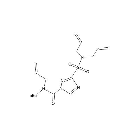 C=CCN(CCCC)C(=O)n1cnc(S(=O)(=O)N(CC=C)CC=C)n1